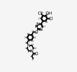 CCC(=O)N1CCN(Cc2ccc(COc3ncc(-c4cc(Cl)c(O)c(Cl)c4)nn3)cc2)CC1